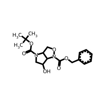 CC(C)(C)OC(=O)N1CC(O)C2C1CON2C(=O)OCc1ccccc1